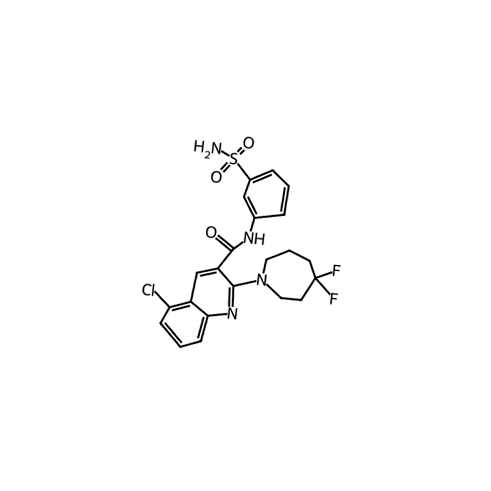 NS(=O)(=O)c1cccc(NC(=O)c2cc3c(Cl)cccc3nc2N2CCCC(F)(F)CC2)c1